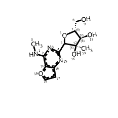 CNc1nc(C2O[C@H](CO)[C@@H](O)[C@@]2(C)O)nc2ccoc12